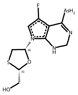 OC[C@H]1O[C@@H](n2cc(F)c3c2NCN=C3[AsH2])CS1